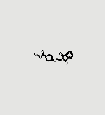 CC(C)(C)OC(=O)N1CCC(OCCN2C(=O)c3ccccc3C2=O)CC1